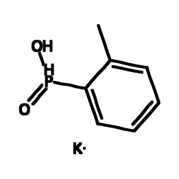 Cc1ccccc1[PH](=O)O.[K]